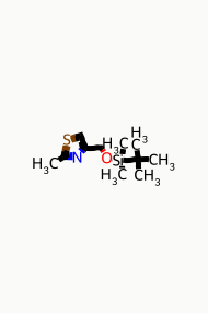 Cc1nc(CO[Si](C)(C)C(C)(C)C)cs1